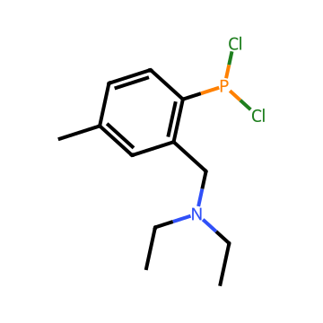 CCN(CC)Cc1cc(C)ccc1P(Cl)Cl